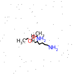 CCO[SiH](CC(N)CCCCN)OCC